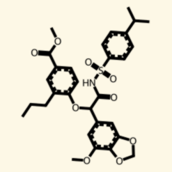 CCCc1cc(C(=O)OC)ccc1OC(C(=O)NS(=O)(=O)c1ccc(C(C)C)cc1)c1cc(OC)c2c(c1)OCO2